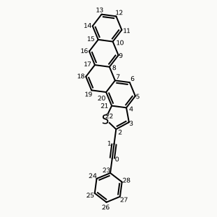 C(#Cc1cc2ccc3c4cc5ccccc5cc4ccc3c2s1)c1ccccc1